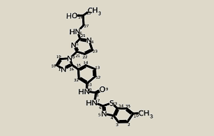 Cc1ccc2nc(NC(=O)Nc3cccc(-c4nccn4-c4ccnc(NCC(C)O)n4)c3)sc2c1